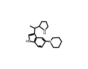 CC(c1c[nH]c2ccc(N3CCCCC3)cc12)C1CCCN1